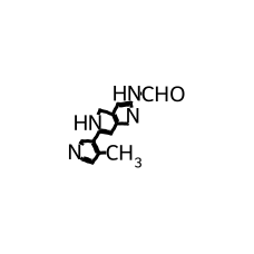 Cc1ccncc1C1=Cc2cnc(NC=O)cc2CN1